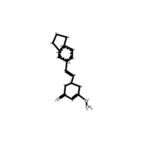 COC1=CC(=O)CC(/C=C/c2ccc3c(c2)CCC3)C1